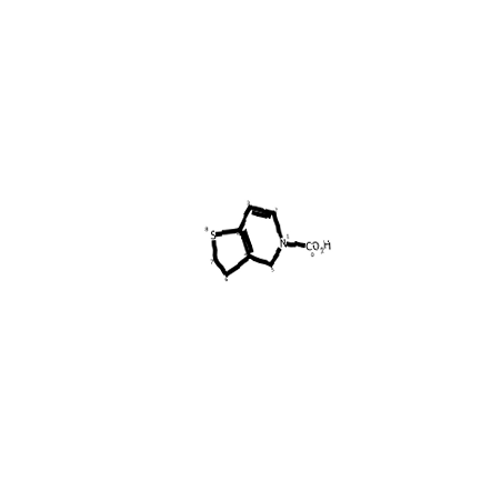 O=C(O)N1C=CC2=C(CCS2)C1